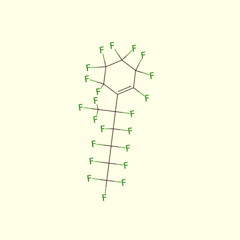 FC1=C(C(F)(C(F)(F)F)C(F)(F)C(F)(F)C(F)(F)C(F)(F)F)C(F)(F)C(F)(F)C(F)(F)C1(F)F